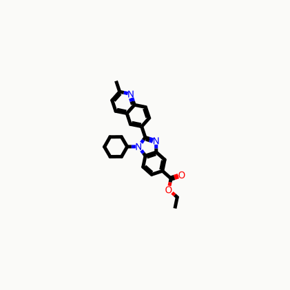 CCOC(=O)c1ccc2c(c1)nc(-c1ccc3nc(C)ccc3c1)n2C1CCCCC1